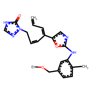 C=C/C=C(\C=C/Cn1nc[nH]c1=O)c1cnc(Nc2cc(COCC)ccc2C)o1